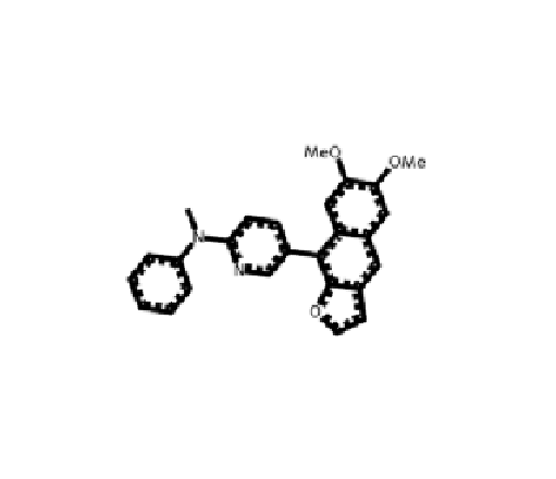 COc1cc2cc3ccoc3c(-c3ccc(N(C)c4ccccc4)nc3)c2cc1OC